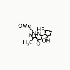 COCCn1nc(C)c2c(=O)c(O)c(-c3c(F)cccc3F)[nH]c21